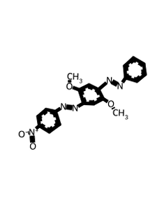 COc1cc(/N=N/c2ccc([N+](=O)[O-])cc2)c(OC)cc1/N=N/c1ccccc1